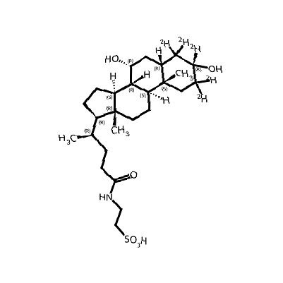 [2H]C1([2H])C[C@@]2(C)[C@H](C[C@@H](O)[C@@H]3[C@@H]2CC[C@]2(C)[C@@H]([C@H](C)CCC(=O)NCCS(=O)(=O)O)CC[C@@H]32)C([2H])([2H])[C@]1([2H])O